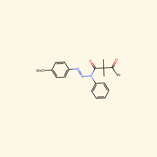 COc1ccc(/N=N/N(C(=O)C(C)(C)C(=O)C(C)C)c2ccccc2)cc1